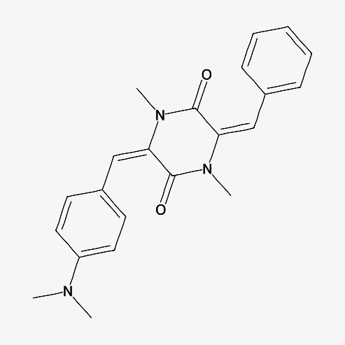 CN(C)c1ccc(C=c2c(=O)n(C)c(=Cc3ccccc3)c(=O)n2C)cc1